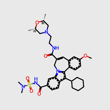 COc1ccc2c(c1)C=C(C(=O)NCCN1C[C@@H](C)O[C@@H](C)C1)Cn1c-2c(C2CCCCC2)c2ccc(C(=O)NS(=O)(=O)N(C)C)cc21